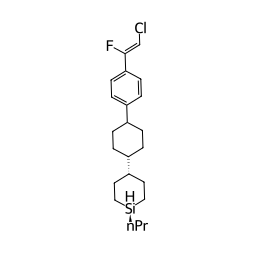 CCC[Si@H]1CC[C@H](C2CCC(c3ccc(C(F)=CCl)cc3)CC2)CC1